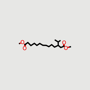 COC(=O)CCCCCCCCCCC(CC(=O)OC)C(C)C